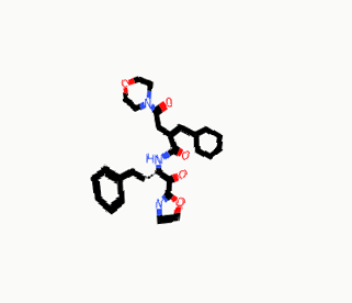 O=C(N[C@@H](CCc1ccccc1)C(=O)c1ncco1)C(CC(=O)N1CCOCC1)CC1CCCCC1